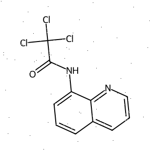 O=C(Nc1cccc2cccnc12)C(Cl)(Cl)Cl